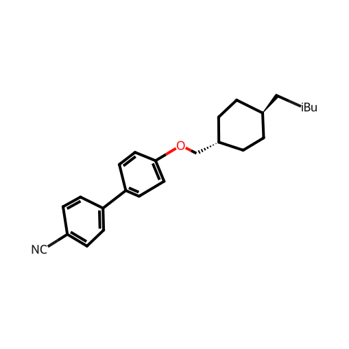 CCC(C)C[C@H]1CC[C@H](COc2ccc(-c3ccc(C#N)cc3)cc2)CC1